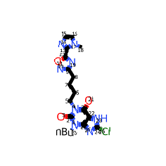 CCCCn1c(=O)n(CCCCc2noc(-c3nccn3C)n2)c(=O)c2[nH]c(Cl)nc21